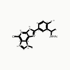 CC(=O)NC(C)c1cc(-c2nc3c(nc(Cl)c4ncn(C)c43)s2)ccc1F